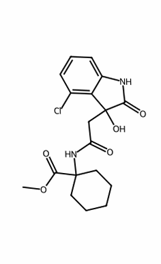 COC(=O)C1(NC(=O)CC2(O)C(=O)Nc3cccc(Cl)c32)CCCCC1